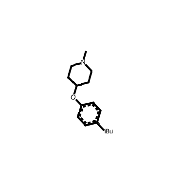 CCC(C)c1ccc(OC2CCN(C)CC2)cc1